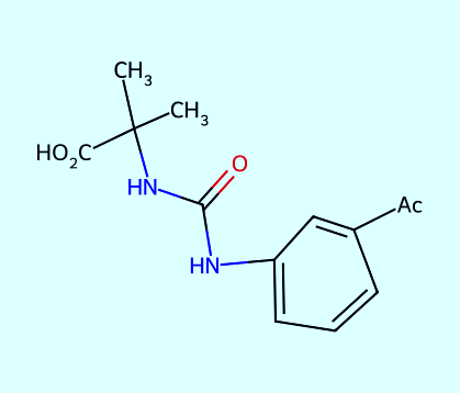 CC(=O)c1cccc(NC(=O)NC(C)(C)C(=O)O)c1